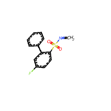 C=NS(=O)(=O)c1ccc(F)cc1-c1ccccc1